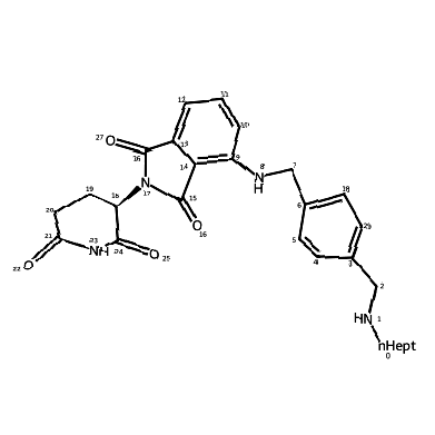 CCCCCCCNCc1ccc(CNc2cccc3c2C(=O)N([C@@H]2CCC(=O)NC2=O)C3=O)cc1